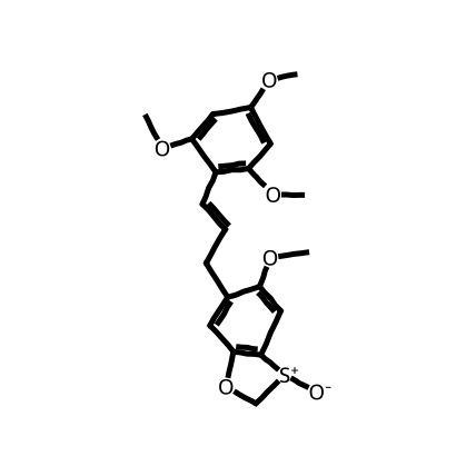 COc1cc(OC)c(C=CCc2cc3c(cc2OC)[S+]([O-])CO3)c(OC)c1